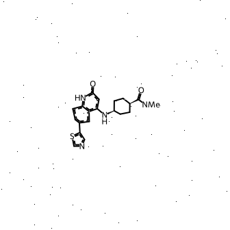 CNC(=O)[C@H]1CC[C@@H](Nc2cc(=O)[nH]c3ccc(-c4cncs4)cc23)CC1